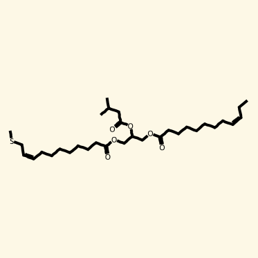 CC/C=C\CCCCCCCC(=O)OCC(COC(=O)CCCCCCC/C=C\CSC)OC(=O)CC(C)C